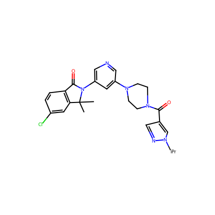 CC(C)n1cc(C(=O)N2CCN(c3cncc(N4C(=O)c5ccc(Cl)cc5C4(C)C)c3)CC2)cn1